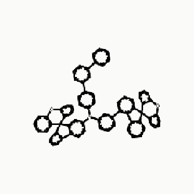 c1ccc(-c2cccc(-c3ccc(N(c4cccc(-c5cccc6c5-c5ccccc5C65c6ccccc6Oc6ccccc65)c4)c4ccc5c(c4)C4(c6ccccc6Oc6ccccc64)c4ccccc4-5)cc3)c2)cc1